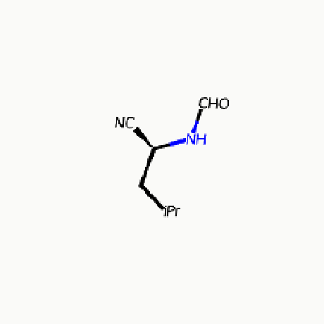 CC(C)C[C@@H](C#N)NC=O